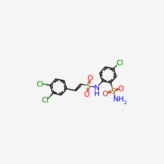 NS(=O)(=O)c1cc(Cl)ccc1NS(=O)(=O)/C=C/c1ccc(Cl)c(Cl)c1